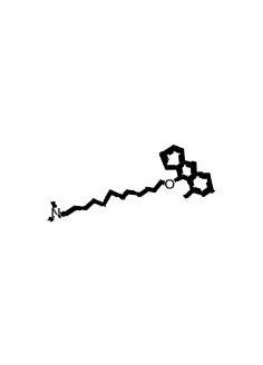 Cc1cccc2cc3ccccc3c(OCCCCCCCCCCCCN(C)C)c12